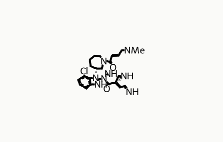 CNC/C=C/C(=O)N1CCCC[C@@H](N2c3c(Cl)cccc3NC2N(N)C(=O)/C(C=N)=C/C=N)C1